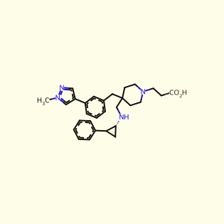 Cn1cc(-c2cccc(CC3(CN[C@@H]4CC4c4ccccc4)CCN(CCC(=O)O)CC3)c2)cn1